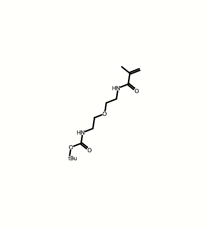 C=C(C)C(=O)NCCOCCNC(=O)OC(C)(C)C